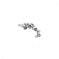 CCn1ncc(-c2nc3c(Oc4ccn(C(=O)CN5CCCC5=O)c4)ncnc3n2C)c1C